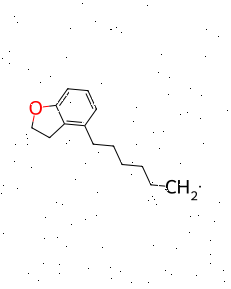 [CH2]CCCCCc1cccc2c1CCO2